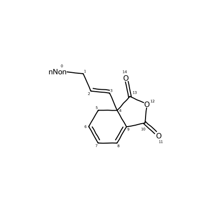 CCCCCCCCCCC=CC12CC=CC=C1C(=O)OC2=O